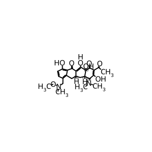 CON(C)Cc1ccc(O)c2c1C[C@H]1C[C@H]3[C@H](N(C)C)C(O)=C(C(C)=O)C(=O)[C@@]3(O)C(O)=C1C2=O